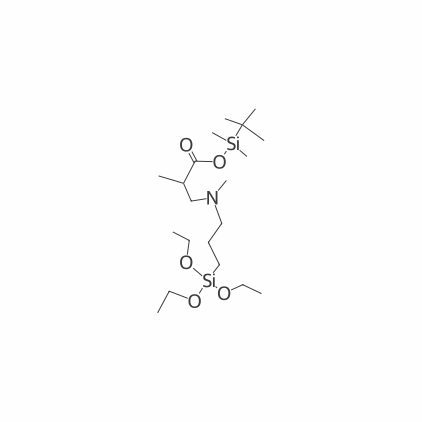 CCO[Si](CCCN(C)CC(C)C(=O)O[Si](C)(C)C(C)(C)C)(OCC)OCC